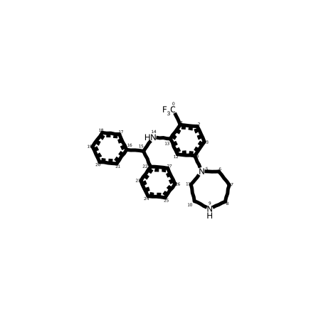 FC(F)(F)c1ccc(N2CCCNCC2)cc1NC(c1ccccc1)c1ccccc1